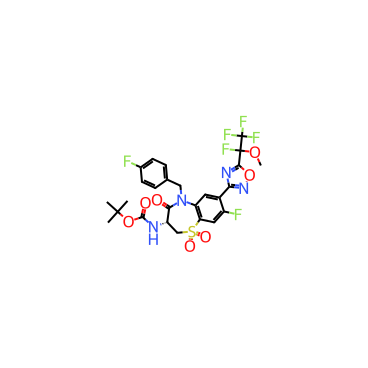 COC(F)(c1nc(-c2cc3c(cc2F)S(=O)(=O)C[C@H](NC(=O)OC(C)(C)C)C(=O)N3Cc2ccc(F)cc2)no1)C(F)(F)F